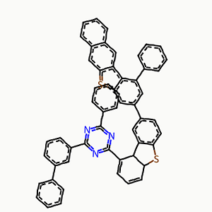 C1=CC2Sc3ccc(-c4cc(-c5ccccc5)c5c(c4)sc4cc6ccccc6cc45)cc3C2C(c2nc(-c3ccccc3)nc(-c3cccc(-c4ccccc4)c3)n2)=C1